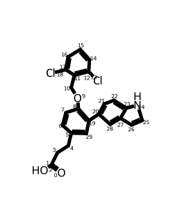 O=C(O)CCc1ccc(OCc2c(Cl)cccc2Cl)c(-c2ccc3[nH]ccc3c2)c1